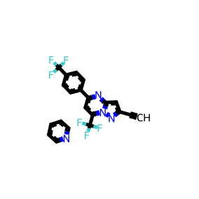 C#Cc1cc2nc(-c3ccc(C(F)(F)F)cc3)cc(C(F)(F)F)n2n1.c1ccncc1